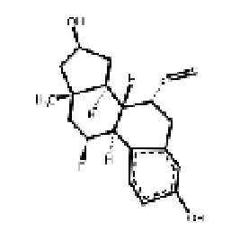 C[C@@]12C[C@@H](O)C[C@H]1[C@H]1[C@@H](c3ccc(O)cc3C[C@H]1C=S)[C@@H](F)C2